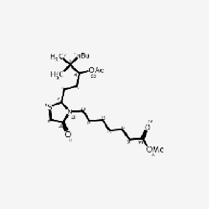 CCCCC(C)(C)C(CCC1SCC(=O)N1CCCCCCC(=O)OC)OC(C)=O